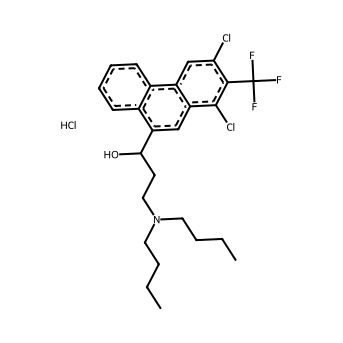 CCCCN(CCCC)CCC(O)c1cc2c(Cl)c(C(F)(F)F)c(Cl)cc2c2ccccc12.Cl